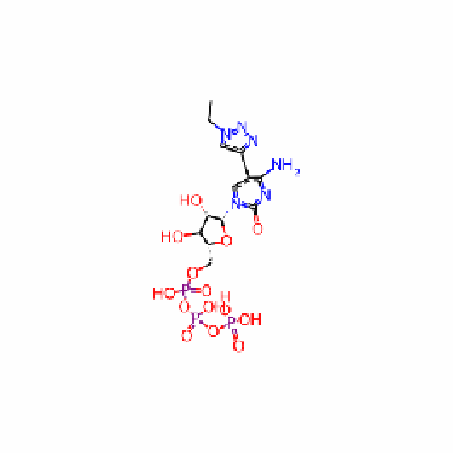 CCn1cc(-c2cn([C@@H]3O[C@H](COP(=O)(O)OP(=O)(O)OP(=O)(O)O)C(O)[C@@H]3O)c(=O)nc2N)nn1